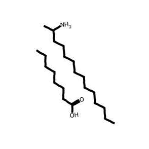 CCCCCCCC(=O)O.CCCCCCCCCCCCC(C)N